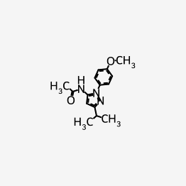 COc1ccc(-n2nc(C(C)C)cc2NC(C)=O)cc1